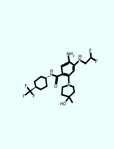 CC1(O)CCN(c2cc(NCC(F)F)c(N)cc2C(=O)N[C@H]2CC[C@H](C(F)(F)F)CC2)CC1